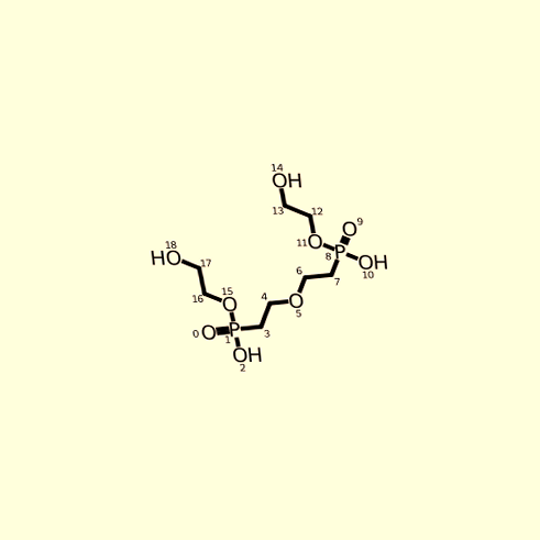 O=P(O)(CCOCCP(=O)(O)OCCO)OCCO